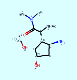 CCCN(CCC)C(=O)C(NC(C)=O)[C@H]1C[C@@H](O)C[C@@H]1N.O=C(O)O